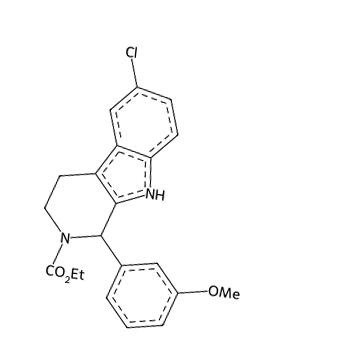 CCOC(=O)N1CCc2c([nH]c3ccc(Cl)cc23)C1c1cccc(OC)c1